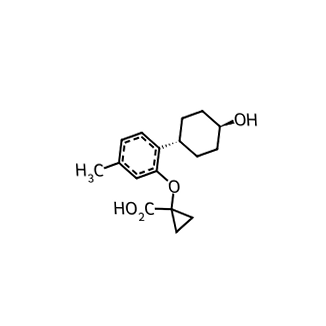 Cc1ccc([C@H]2CC[C@H](O)CC2)c(OC2(C(=O)O)CC2)c1